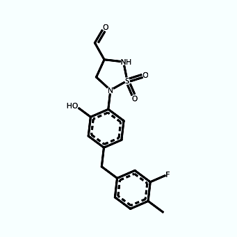 Cc1ccc(Cc2ccc(N3CC(C=O)NS3(=O)=O)c(O)c2)cc1F